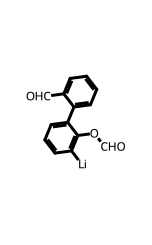 [Li][c]1cccc(-c2ccccc2C=O)c1OC=O